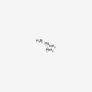 [BiH3].[Hg].[InH3].[PbH2]